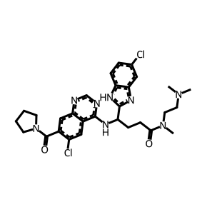 CN(C)CCN(C)C(=O)CCC(Nc1ncnc2cc(C(=O)N3CCCC3)c(Cl)cc12)c1nc2cc(Cl)ccc2[nH]1